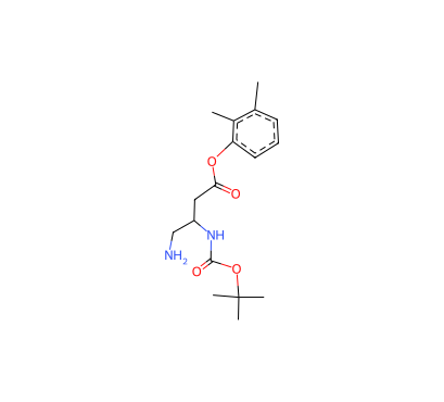 Cc1cccc(OC(=O)CC(CN)NC(=O)OC(C)(C)C)c1C